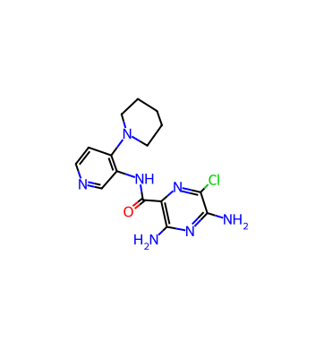 Nc1nc(N)c(C(=O)Nc2cnccc2N2CCCCC2)nc1Cl